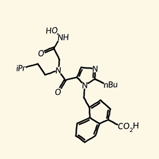 CCCCc1ncc(C(=O)N(CCC(C)C)CC(=O)NO)n1Cc1ccc(C(=O)O)c2ccccc12